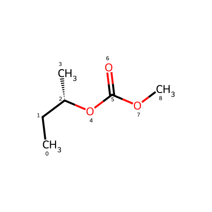 CC[C@H](C)OC(=O)OC